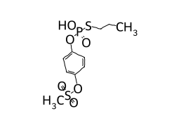 CCCSP(=O)(O)Oc1ccc(OS(C)(=O)=O)cc1